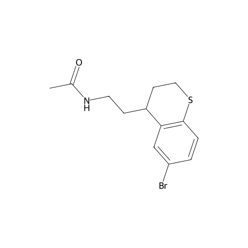 CC(=O)NCCC1CCSc2ccc(Br)cc21